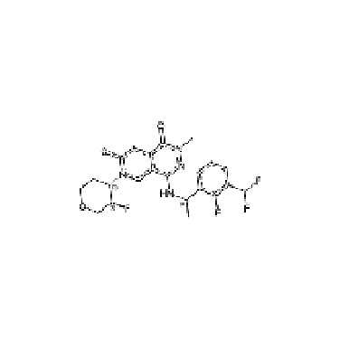 C[C@@H](Nc1nn(C)c(=O)c2cc(=O)n([C@H]3CCOC[C@@H]3F)cc12)c1cccc(C(F)F)c1F